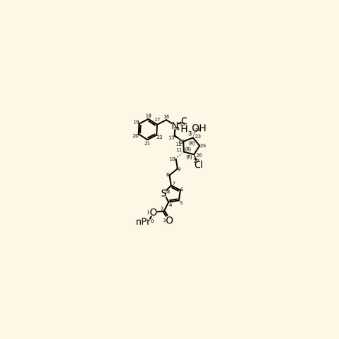 CCCOC(=O)c1ccc(CCC[C@@H]2[C@@H](CN(C)Cc3ccccc3)[C@H](O)C[C@H]2Cl)s1